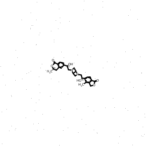 Cc1c([C@@H](O)CN2CC3C2CN3C[C@H](O)c2ccc3c(c2)C[C@@H](C)OC3=O)ccc2c1COC2=O